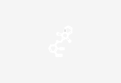 O=Cc1cccc(SCN2C(=O)c3ccccc3C2=O)c1O